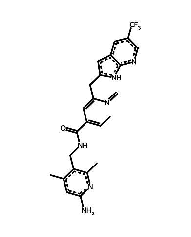 C=N/C(=C\C(=C/C)C(=O)NCc1c(C)cc(N)nc1C)Cc1cc2cc(C(F)(F)F)cnc2[nH]1